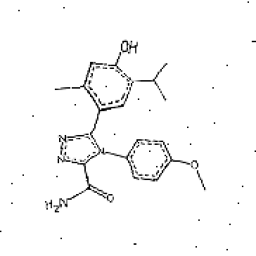 COc1ccc(-n2c(C(N)=O)nnc2-c2cc(C(C)C)c(O)cc2C)cc1